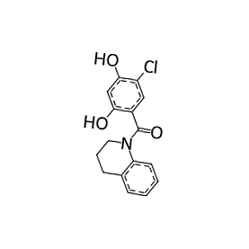 O=C(c1cc(Cl)c(O)cc1O)N1CCCc2ccccc21